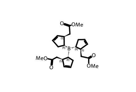 COC(=O)C[C@@H]1C=CC[C@H]1B([C@@H]1CC=C[C@H]1CC(=O)OC)[C@@H]1CC=C[C@H]1CC(=O)OC